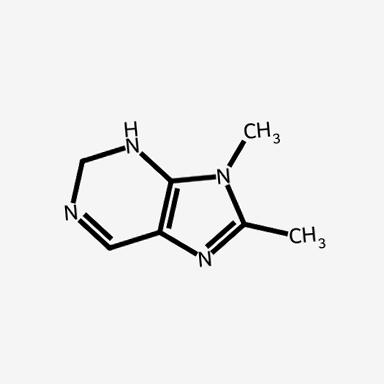 Cc1nc2c(n1C)NCN=C2